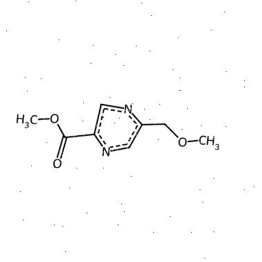 COCc1cnc(C(=O)OC)cn1